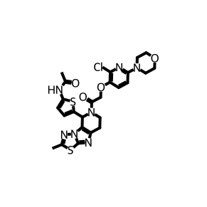 CC(=O)Nc1ccc(C2c3c(nc4sc(C)nn34)CCN2C(=O)COc2ccc(N3CCOCC3)nc2Cl)s1